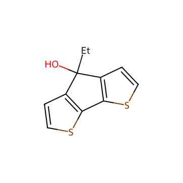 CCC1(O)c2ccsc2-c2sccc21